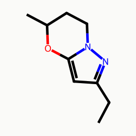 CCc1cc2n(n1)CCC(C)O2